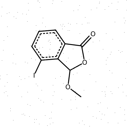 COC1OC(=O)c2cccc(I)c21